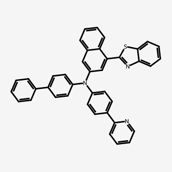 c1ccc(-c2ccc(N(c3ccc(-c4ccccn4)cc3)c3cc(-c4nc5ccccc5s4)c4ccccc4c3)cc2)cc1